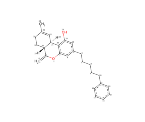 C=C1Oc2cc(CCCCCc3ccccc3)cc(O)c2[C@@H]2C=C(C)CC[C@@H]12